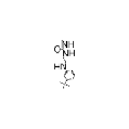 CNC(=O)NCCNc1cccc(C(C)(C)C)c1